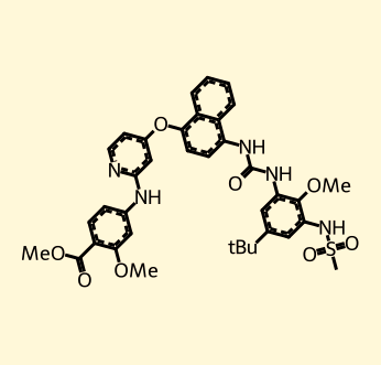 COC(=O)c1ccc(Nc2cc(Oc3ccc(NC(=O)Nc4cc(C(C)(C)C)cc(NS(C)(=O)=O)c4OC)c4ccccc34)ccn2)cc1OC